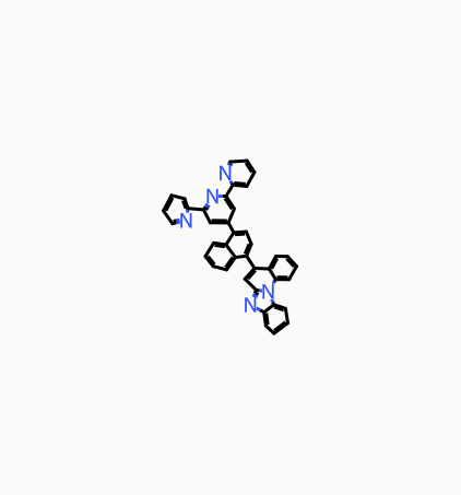 c1ccc(-c2cc(-c3ccc(-c4cc5nc6ccccc6n5c5ccccc45)c4ccccc34)cc(-c3ccccn3)n2)nc1